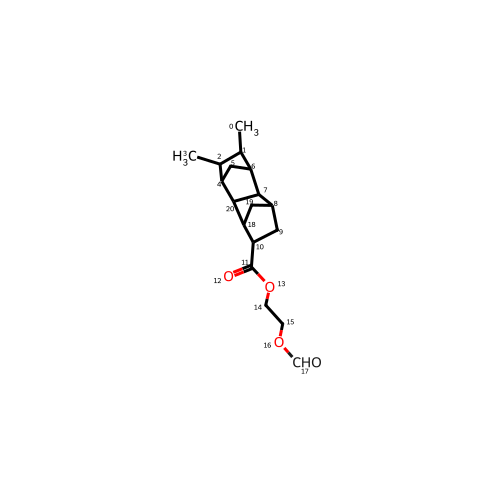 CC1C(C)C2CC1C1C3CC(C(=O)OCCOC=O)C(C3)C21